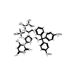 COc1ccc(C(OC[C@@H]2O[C@@H](n3c(C#N)cc(=O)[nH]c3=O)[C@H](O[Si](C)(C)C(C)(C)C)[C@@H]2C(CC#N)OP(O)N(C(C)C)C(C)C)(c2ccccc2)c2ccc(OC)cc2)cc1